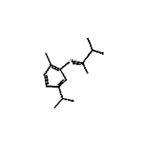 C/C(=N\c1cc(C(C)C)ccc1C)C(C)C